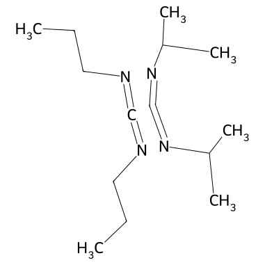 CC(C)N=C=NC(C)C.CCCN=C=NCCC